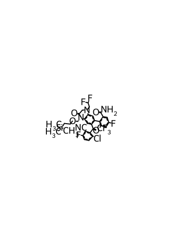 C[Si](C)(C)CCOCN1C(=O)CN(CC(F)F)c2cc(-c3c(C(N)=O)cc(F)cc3C(F)(F)F)c(C(=O)c3cc(F)ccc3Cl)c(C#N)c21